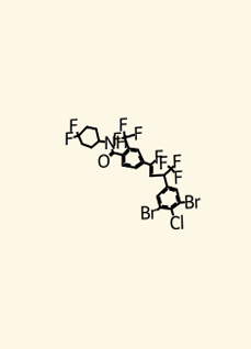 O=C(NC1CCC(F)(F)CC1)c1ccc(/C(F)=C/C(c2cc(Br)c(Cl)c(Br)c2)C(F)(F)F)cc1C(F)(F)F